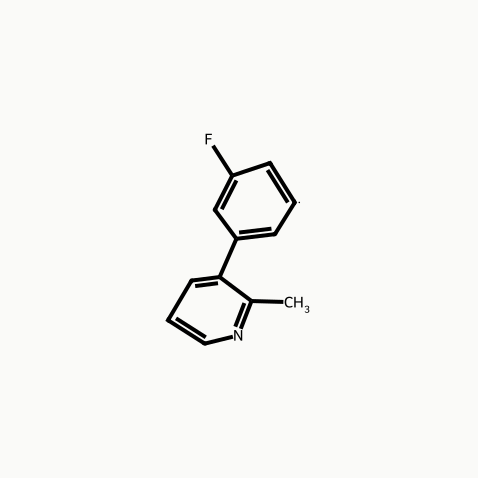 Cc1ncccc1-c1c[c]cc(F)c1